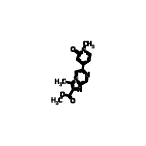 COC(=O)c1nc2cnc(-c3ccn(C)c(=O)c3)cn2c1C